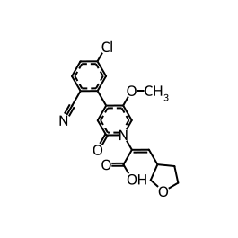 COc1cn(C(=CC2CCOC2)C(=O)O)c(=O)cc1-c1cc(Cl)ccc1C#N